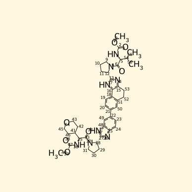 COC(=O)N[C@H](C(=O)N1CCC[C@H]1c1nc2c([nH]1)-c1ccc(-c3ccc4nc([C@@H]5CCCN5C(=O)[C@@H](NC(=O)OC)C5CCOCC5)[nH]c4c3)cc1CC2)C(C)C